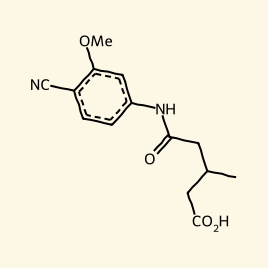 COc1cc(NC(=O)CC(C)CC(=O)O)ccc1C#N